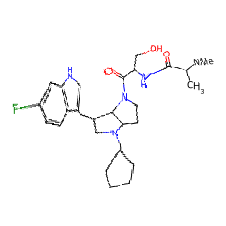 CNC(C)C(=O)NC(CO)C(=O)N1CCC2C1C(c1c[nH]c3cc(F)ccc13)CN2C1CCCC1